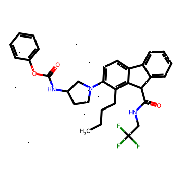 CCCCc1c(N2CCC(NC(=O)Oc3ccccc3)C2)ccc2c1C(C(=O)NCC(F)(F)F)c1ccccc1-2